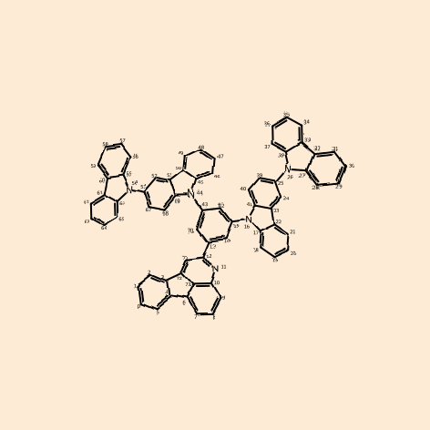 c1ccc2c(c1)-c1cccc3nc(-c4cc(-n5c6ccccc6c6cc(-n7c8ccccc8c8ccccc87)ccc65)cc(-n5c6ccccc6c6cc(-n7c8ccccc8c8ccccc87)ccc65)c4)cc-2c13